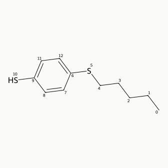 CCCCCSc1ccc(S)cc1